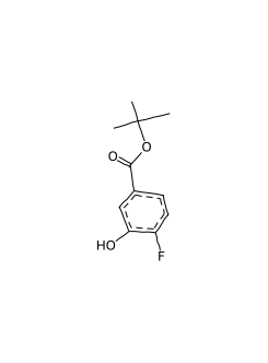 CC(C)(C)OC(=O)c1ccc(F)c(O)c1